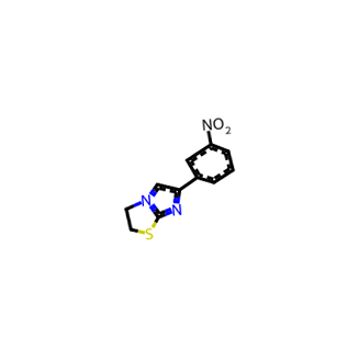 O=[N+]([O-])c1cccc(-c2cn3c(n2)SCC3)c1